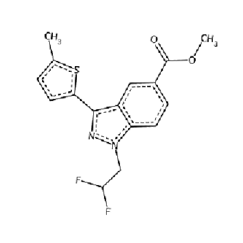 COC(=O)c1ccc2c(c1)c(-c1ccc(C)s1)nn2CC(F)F